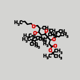 CCCCOC[C@H](C)[C@H](O[Si](C)(C)C(C)(C)C)[C@@H](C)C(=O)C(C)(C)[C@H](CC(=O)OC(C)(C)C)O[Si](CC)(CC)CC